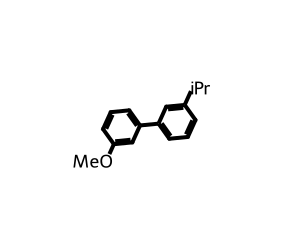 COc1cccc(-c2cccc(C(C)C)c2)c1